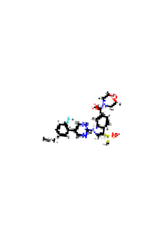 COc1ccc(F)c(-c2cnc(-n3cc([S+](C)[O-])c4ccc(C(=O)N5CCOCC5)cc43)nc2)c1